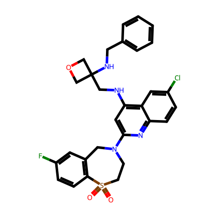 O=S1(=O)CCN(c2cc(NCC3(NCc4ccccc4)COC3)c3cc(Cl)ccc3n2)Cc2cc(F)ccc21